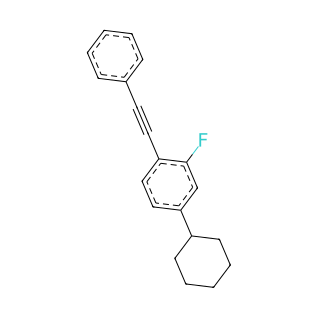 Fc1cc(C2CCCCC2)ccc1C#Cc1ccccc1